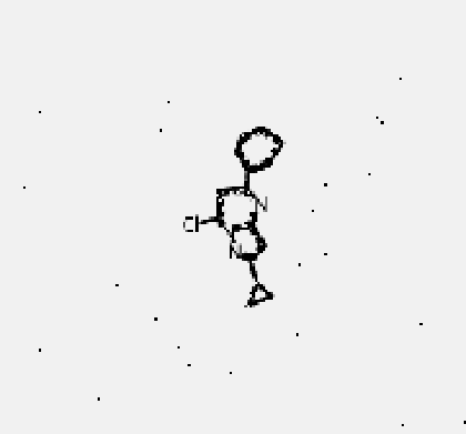 Clc1cc(-c2ccccc2)nc2cc(C3CC3)nn12